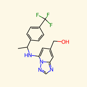 CC(Nc1cc(CO)cc2ncnn12)c1ccc(C(F)(F)F)cc1